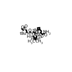 CC(C)(C)[C@H](NC(=O)N[C@H](CN1CCOC1=O)C(C)(C)C)C(=O)N1C[C@H]2[C@@H]([C@H]1C(=O)NC(CC1CCC1)C(=O)C(N)=O)C2(C)C